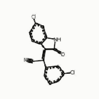 N#C/C(=C1/C(=O)Nc2cc(Cl)ccc21)c1cccc(Cl)c1